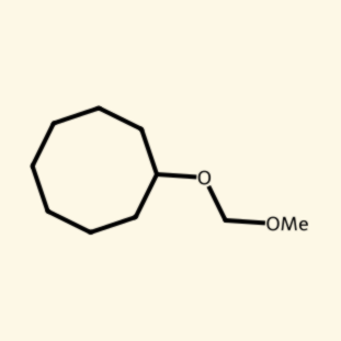 COCOC1CCCCCCC1